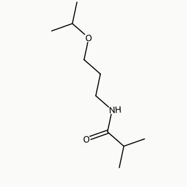 CC(C)OCCCNC(=O)C(C)C